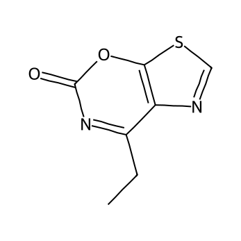 CCc1nc(=O)oc2scnc12